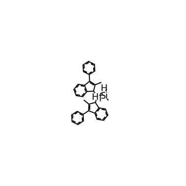 CC1=C(c2ccccc2)c2ccccc2[CH]1[Hf]([CH]1C(C)=C(c2ccccc2)c2ccccc21)[SiH](C)C